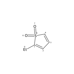 CCC1=CC=CS1(=O)=O